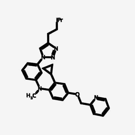 CC(C)CCc1cn(-c2cccc(N(C)c3ccc(OCc4ccccn4)cc3C3CC3)c2)nn1